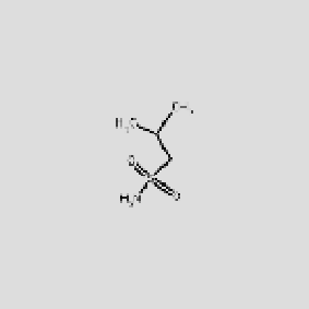 CC(C)CS(N)(=O)=O